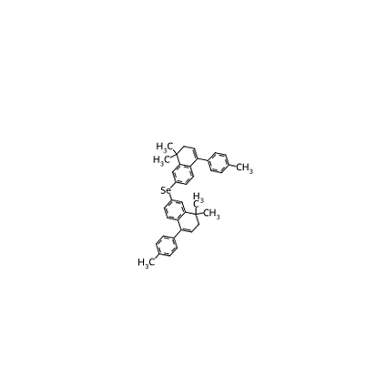 Cc1ccc(C2=CCC(C)(C)c3cc([Se]c4ccc5c(c4)C(C)(C)CC=C5c4ccc(C)cc4)ccc32)cc1